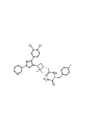 Cc1ccc(C[C@H](NC(=O)C[C@H]2C[C@H](c3cc(-c4cccnc4)nn3-c3ccc(Cl)c(Cl)c3)C2(C)C)C(N)=O)cc1